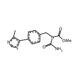 COC(=O)N(Cc1ccc(-c2scnc2C)cc1)C(N)=O